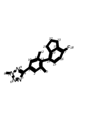 Cc1cc(-c2nnn(C)n2)cc(C)c1-c1ccc(F)c2c1CCC2